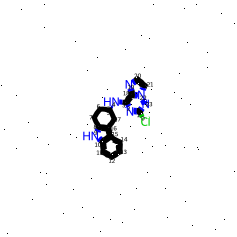 Clc1nc(N[C@@H]2CCc3[nH]c4ccccc4c3C2)c2nccn2n1